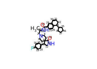 C[C@@H](CN1CCC2(CC1)C(=O)NCC2c1ccc(F)cc1)NC(=O)c1ccc2c(c1)C=CCC2C1CCCC1